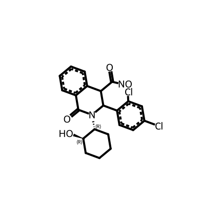 O=NC(=O)C1c2ccccc2C(=O)N([C@@H]2CCCC[C@H]2O)C1c1ccc(Cl)cc1Cl